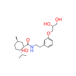 CC(C)[C@@H]1CC[C@@H](C)C[C@@]1(O)C(=O)NCCc1cccc(OCC(O)CO)c1